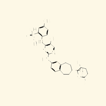 Cc1ccc(Nc2nc(Nc3ccc4c(c3)CC[C@@H](N3C[C@@H]5CC[C@H]3CO5)CC4)ncc2Cl)c(P(C)(C)=O)c1